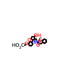 Cc1ccccc1CS(=O)(=O)NCC1C(O)CC2Oc3c(OCC(=O)O)cccc3C21